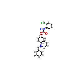 O=C(Nc1ccccc1Cl)Oc1ccc2c(c1)CCCN2Cc1ccccc1